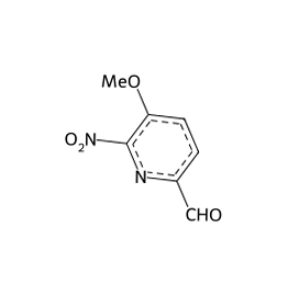 COc1ccc(C=O)nc1[N+](=O)[O-]